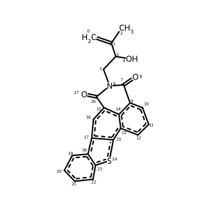 C=C(C)C(O)CN1C(=O)c2cccc3c2c(cc2c4ccccc4sc32)C1=O